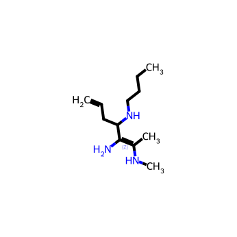 C=CCC(NCCCC)/C(N)=C(\C)NC